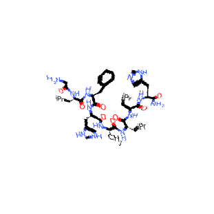 CC(C)CC(NC(=O)[C@H](CC(C)C)NC(=O)[C@H](C)NC(=O)[C@H](CC1=CNCN1)NC(=O)[C@H](Cc1ccccc1)NC(=O)[C@H](CC(C)C)NC(=O)CN)C(=O)N[C@@H](Cc1cnc[nH]1)C(N)=O